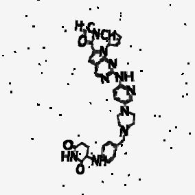 CN(C)C(=O)c1cc2cnc(Nc3ccc(N4CCN(Cc5ccc(NC6CCC(=O)NC6=O)cc5)CC4)cn3)nc2n1C1CCCC1